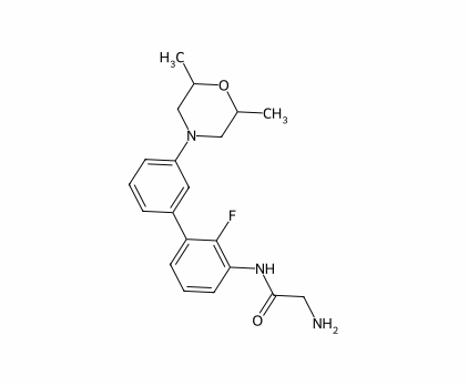 CC1CN(c2cccc(-c3cccc(NC(=O)CN)c3F)c2)CC(C)O1